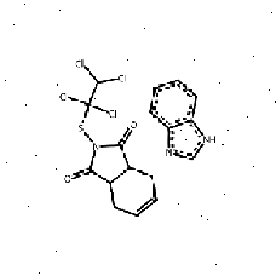 O=C1C2CC=CCC2C(=O)N1SC(Cl)(Cl)C(Cl)Cl.c1ccc2[nH]cnc2c1